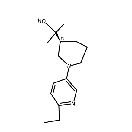 CCc1ccc(N2CCC[C@H](C(C)(C)O)C2)cn1